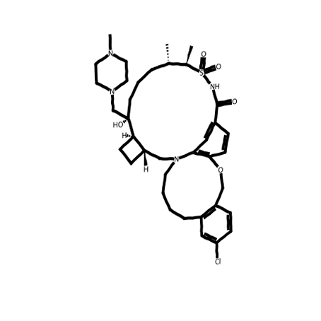 C[C@@H]1[C@@H](C)CCC[C@](O)(CN2CCN(C)CC2)[C@@H]2CC[C@H]2CN2CCCCc3cc(Cl)ccc3COc3ccc(cc32)C(=O)NS1(=O)=O